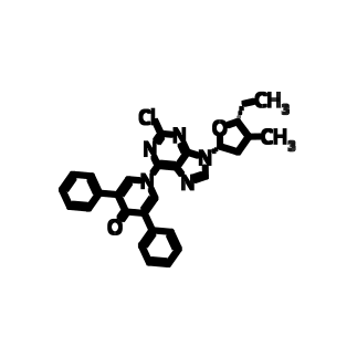 CC[C@H]1O[C@@H](n2cnc3c(-n4cc(-c5ccccc5)c(=O)c(-c5ccccc5)c4)nc(Cl)nc32)CC1C